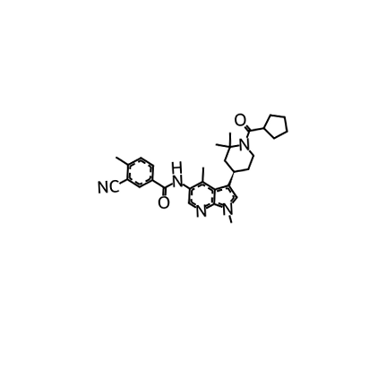 Cc1ccc(C(=O)Nc2cnc3c(c([C@@H]4CCN(C(=O)C5CCCC5)C(C)(C)C4)cn3C)c2C)cc1C#N